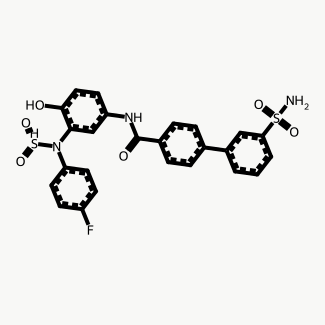 NS(=O)(=O)c1cccc(-c2ccc(C(=O)Nc3ccc(O)c(N(c4ccc(F)cc4)[SH](=O)=O)c3)cc2)c1